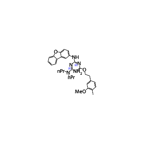 C=C(/N=C(\N=C(/N)N(CCC)CCC)Nc1ccc2oc3ccccc3c2c1)OCCc1ccc(C)c(OC)c1